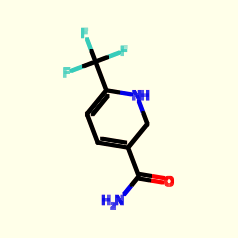 NC(=O)C1=CC=C(C(F)(F)F)NC1